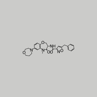 CN1C(=O)C(NC(=O)c2cc(Cc3ccccc3)on2)COc2ccc(N3CCCOCC3)cc21